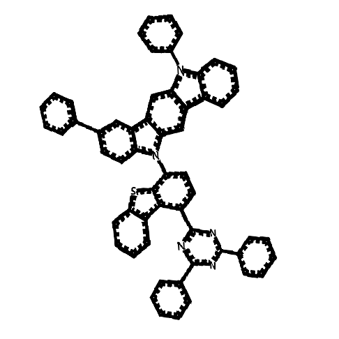 c1ccc(-c2ccc3c(c2)c2cc4c(cc2n3-c2ccc(-c3nc(-c5ccccc5)nc(-c5ccccc5)n3)c3c2sc2ccccc23)c2ccccc2n4-c2ccccc2)cc1